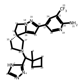 CC1(C(c2nnc[nH]2)N2CC[C@@]3(CCn4nc(-c5cnc(N)c(C(F)(F)F)c5)cc43)C2)CCC1